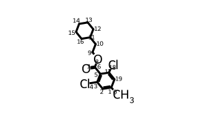 Cc1cc(Cl)c(C(=O)OCCC2CCCCC2)c(Cl)c1